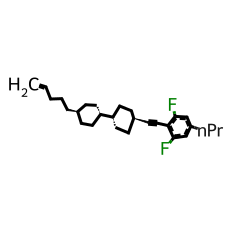 C=CCCC[C@H]1CC[C@H]([C@H]2CC[C@H](C#Cc3c(F)cc(CCC)cc3F)CC2)CC1